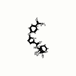 C[C@H]1[C@H](NC(=O)c2ccc(Oc3ccc(C(N)=O)cc3)s2)C2CCN1CC2